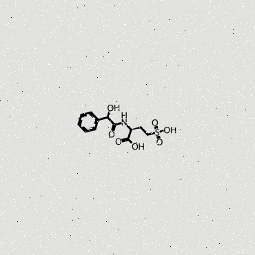 O=C(N[C@@H](CCS(=O)(=O)O)C(=O)O)C(O)c1ccccc1